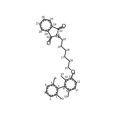 Cc1cccc(C)c1-c1c(C)ccc(OCCCCCCN2C(=O)c3ccccc3C2=O)c1C